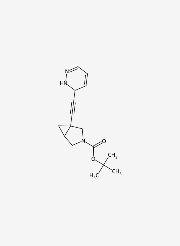 CC(C)(C)OC(=O)N1CC2CC2(C#CC2C=CC=NN2)C1